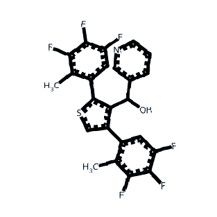 Cc1c(-c2csc(-c3cc(F)c(F)c(F)c3C)c2C(O)c2cccnc2)cc(F)c(F)c1F